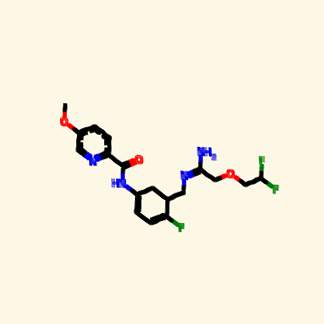 COc1ccc(C(=O)NC2=CC=C(F)C(C/N=C(/N)COCC(F)F)C2)nc1